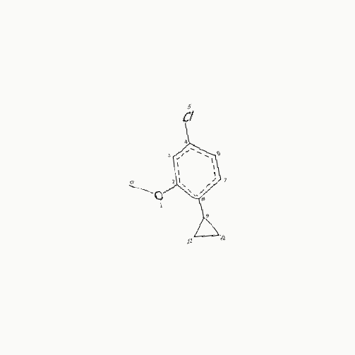 COc1cc(Cl)ccc1C1CC1